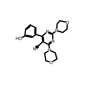 N#Cc1c(-c2cccc(O)c2)nc(N2CCOCC2)nc1N1CCOCC1